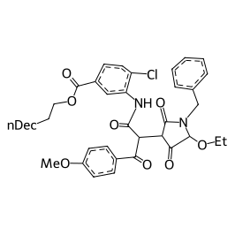 CCCCCCCCCCCCOC(=O)c1ccc(Cl)c(NC(=O)C(C(=O)c2ccc(OC)cc2)C2C(=O)C(OCC)N(Cc3ccccc3)C2=O)c1